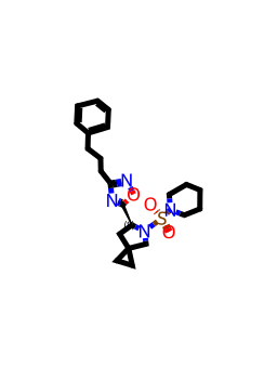 O=S(=O)(N1CCCCC1)N1CC2(CC2)C[C@H]1c1nc(CCCc2ccccc2)no1